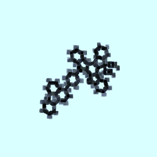 CC1(C)c2ccccc2-c2c1c1c3ccccc3oc1c1c2c2ccccc2n1-c1ccc(-c2ccc3c4c(cccc24)-c2ccccc2-3)cc1